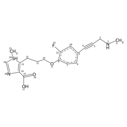 CNCC#Cc1ccc(OCCCC2=C(C(=O)O)N=C[SH]2C)c(F)c1